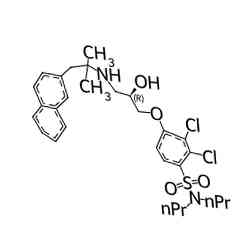 CCCN(CCC)S(=O)(=O)c1ccc(OC[C@H](O)CNC(C)(C)Cc2ccc3ccccc3c2)c(Cl)c1Cl